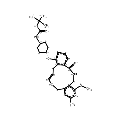 COc1nc(C)cc2c1CNC(=O)c1cccc(O[C@H]3CC[C@H](NC(=O)OC(C)(C)C)CC3)c1C/C=C/CC2